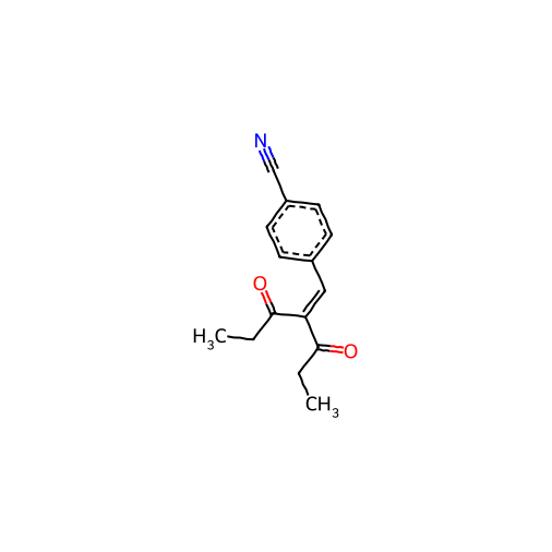 CCC(=O)C(=Cc1ccc(C#N)cc1)C(=O)CC